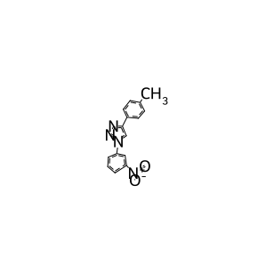 Cc1ccc(-c2cn(-c3cccc([N+](=O)[O-])c3)nn2)cc1